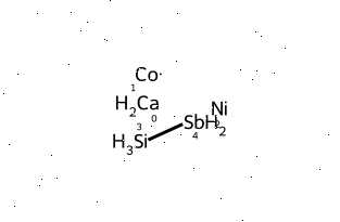 [CaH2].[Co].[Ni].[SiH3][SbH2]